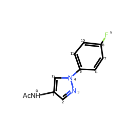 CC(=O)Nc1cnn(-c2ccc(F)cc2)c1